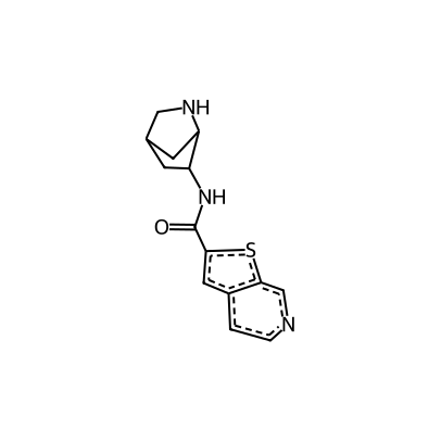 O=C(NC1CC2CNC1C2)c1cc2ccncc2s1